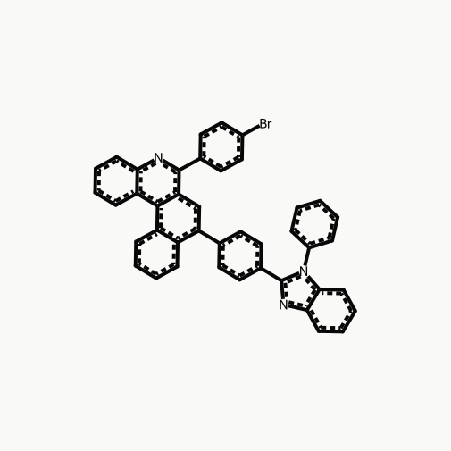 Brc1ccc(-c2nc3ccccc3c3c2cc(-c2ccc(-c4nc5ccccc5n4-c4ccccc4)cc2)c2ccccc23)cc1